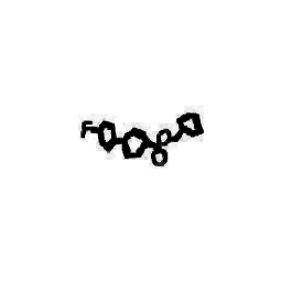 O=C(OCc1ccccc1)c1ccc(-c2ccc(F)cc2)cc1